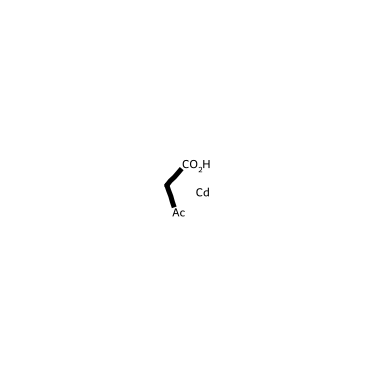 CC(=O)CC(=O)O.[Cd]